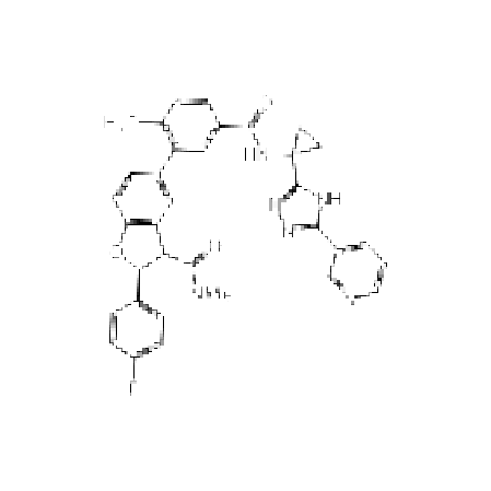 CNC(=O)C1c2cc(-c3cc(C(=O)NC4(c5nnc(-c6cccnc6)[nH]5)CC4)ccc3C)ccc2OC1c1ccc(F)cc1